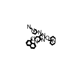 CN(c1nc(OCC23CCCN2CCC3)nc2c1CCN(c1cccc3cccc(Cl)c13)C2)[C@@H]1CCN(C#N)C1